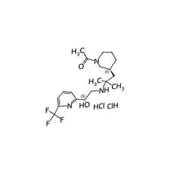 CC(=O)N1CCC[C@@H](CC(C)(C)NC[C@H](O)c2cccc(C(F)(F)F)n2)C1.Cl.Cl